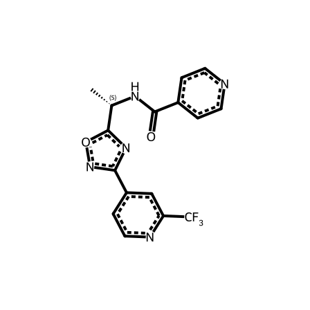 C[C@H](NC(=O)c1ccncc1)c1nc(-c2ccnc(C(F)(F)F)c2)no1